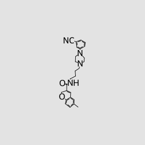 Cc1ccc2c(c1)C=C(C(=O)NCCCCN1CCN(c3cccc(C#N)c3)CC1)CO2